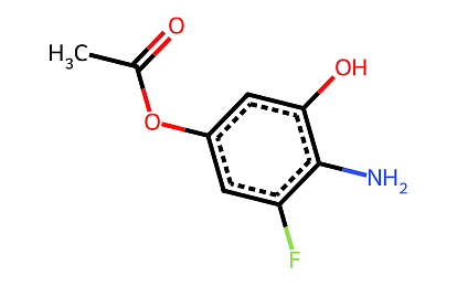 CC(=O)Oc1cc(O)c(N)c(F)c1